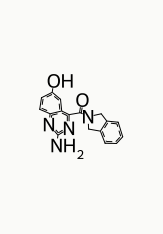 Nc1nc(C(=O)N2Cc3ccccc3C2)c2cc(O)ccc2n1